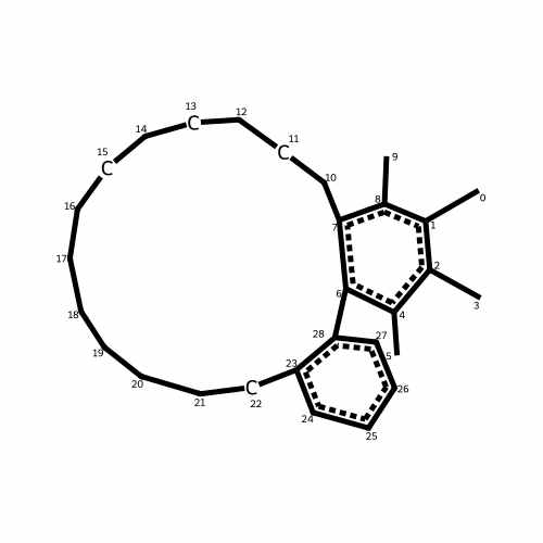 Cc1c(C)c(C)c2c(c1C)CCCCCCCCCCCCCc1ccccc1-2